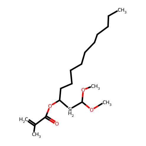 C=C(C)C(=O)OC(CCCCCCCCCC)[SiH2]C(OC)OC